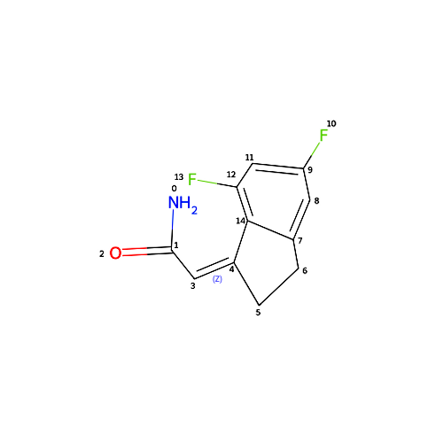 NC(=O)/C=C1/CCc2cc(F)cc(F)c21